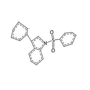 O=S(=O)(c1ccccc1)n1cc(-c2[c]cccc2)c2ccccc21